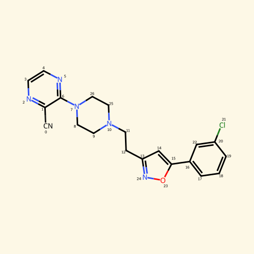 N#Cc1nccnc1N1CCN(CCc2cc(-c3cccc(Cl)c3)on2)CC1